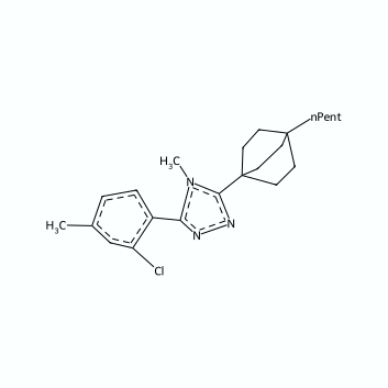 CCCCCC12CCC(c3nnc(-c4ccc(C)cc4Cl)n3C)(CC1)CC2